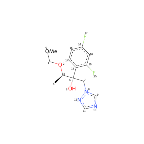 COCO[C@H](C)[C@](O)(Cn1cncn1)c1ccc(F)cc1F